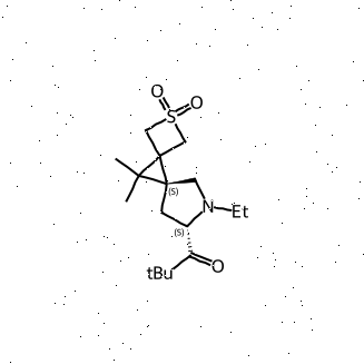 CCN1C[C@@]2(C[C@H]1C(=O)C(C)(C)C)C(C)(C)C21CS(=O)(=O)C1